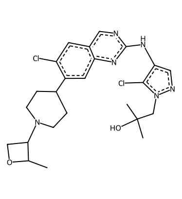 CC1OCC1N1CCC(c2cc3nc(Nc4cnn(CC(C)(C)O)c4Cl)ncc3cc2Cl)CC1